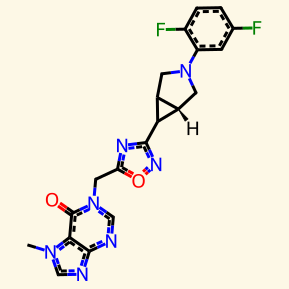 Cn1cnc2ncn(Cc3nc(C4C5CN(c6cc(F)ccc6F)C[C@@H]54)no3)c(=O)c21